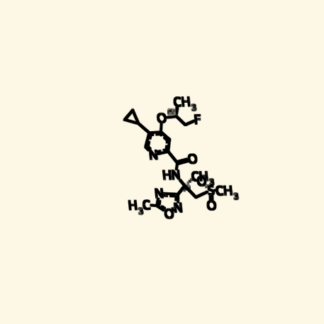 Cc1nc([C@](C)(CS(C)(=O)=O)NC(=O)c2cc(O[C@@H](C)CF)c(C3CC3)cn2)no1